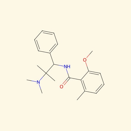 COc1cccc(C)c1C(=O)NC(c1ccccc1)C(C)(C)N(C)C